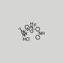 Cl.O=C(Nc1cccc(-c2nncn2C2CC2)n1)c1cc(Nc2ccccc2)ccc1F